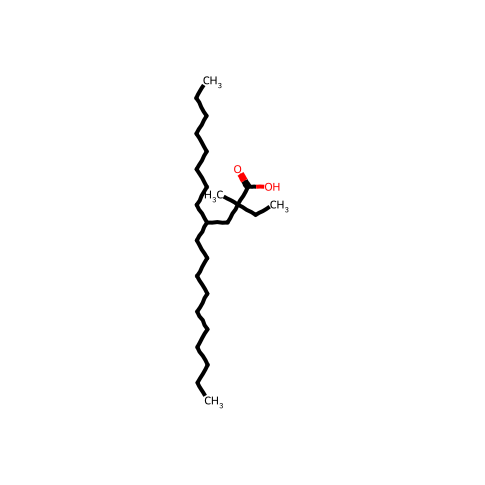 CCCCCCCCCCC(CCCCCCCC)CC(C)(CC)C(=O)O